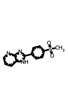 CS(=O)(=O)c1ccc(-c2nc3ncccc3[nH]2)cc1